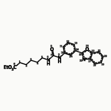 CCOC(=O)CCCCCNC(=O)Nc1cccc(-c2nc3ccccc3o2)c1